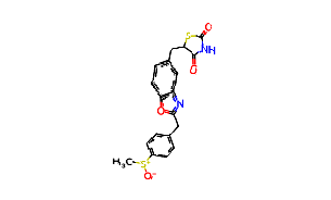 C[S+]([O-])c1ccc(Cc2nc3cc(CC4SC(=O)NC4=O)ccc3o2)cc1